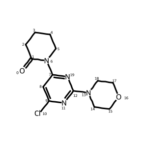 O=C1CCCCN1c1cc(Cl)nc(N2CCOCC2)n1